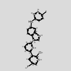 Cc1ccc(Nc2ccc3c(c2)ncn3-c2cc[c]c(-c3cc(F)cnc3Cl)n2)nn1